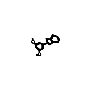 COc1cc(OC)cc(C2=Cc3ccccc3C2)c1